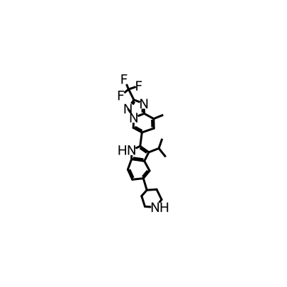 Cc1cc(-c2[nH]c3ccc(C4CCNCC4)cc3c2C(C)C)cn2nc(C(F)(F)F)nc12